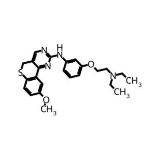 CCN(CC)CCOc1cccc(Nc2ncc3c(n2)-c2cc(OC)ccc2SC3)c1